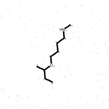 CCC(C)OCCCCNC